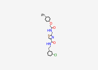 CC(C)c1ccc(OCC(=O)NCc2nc(C(=O)NCCc3cccc(Cl)c3)cs2)cc1